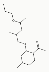 C=C(C)C1CCC(C)CC1OCC(C)CC(C)OCCC